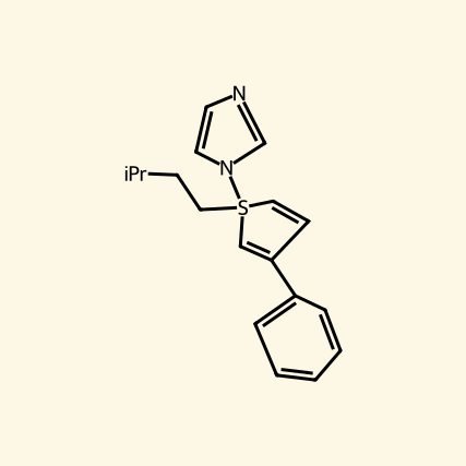 CC(C)CCS1(n2ccnc2)C=CC(c2ccccc2)=C1